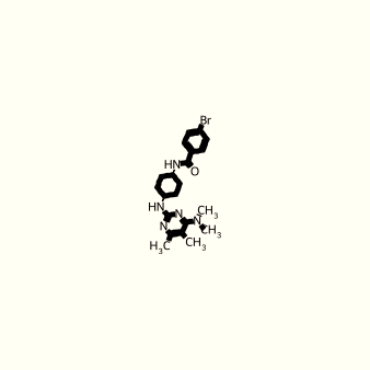 Cc1nc(N[C@H]2CC[C@@H](NC(=O)c3ccc(Br)cc3)CC2)nc(N(C)C)c1C